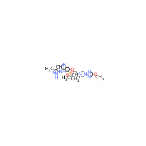 COc1cnc(N2CCN(CCCOc3cc4ncnc(Nc5[nH]nc(C)c5C)c4cc3S(=O)(=O)C(C)(C)C)CC2)nc1